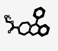 CCOC(=O)N1CCC2Cc3ccccc3C(c3ccccc3)N2CC1